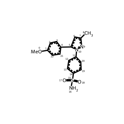 COc1ccc(-c2cc(C)nn2-c2ccc(S(N)(=O)=O)cc2)cc1